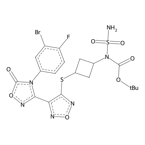 CC(C)(C)OC(=O)N(C1CC(Sc2nonc2-c2noc(=O)n2-c2ccc(F)c(Br)c2)C1)S(N)(=O)=O